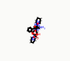 Nc1nnc(-c2ccccc2O)cc1N1CC2CCC(C1)N2c1ncc(C2CCC(N3CC4CCC(C3)N4CC(=O)O)CC2)cn1